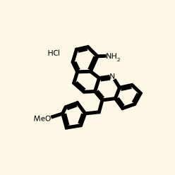 COc1ccc(Cc2c3ccccc3nc3c2ccc2cccc(N)c23)cc1.Cl